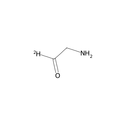 [2H]C(=O)CN